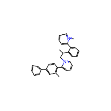 Cc1cc(-c2ccccc2)ccc1-c1cccc[n+]1CC(C)c1ccccc1-c1cccc[n+]1C